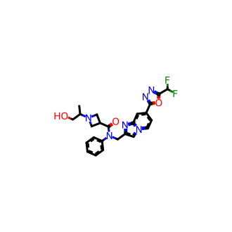 CC(CO)N1CC(C(=O)N(Cc2cn3ccc(-c4nnc(C(F)F)o4)cc3n2)c2ccccc2)C1